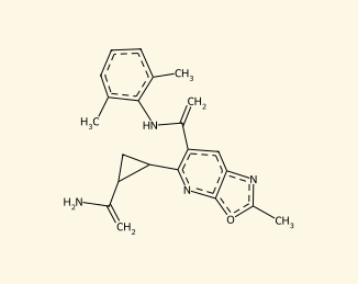 C=C(Nc1c(C)cccc1C)c1cc2nc(C)oc2nc1C1CC1C(=C)N